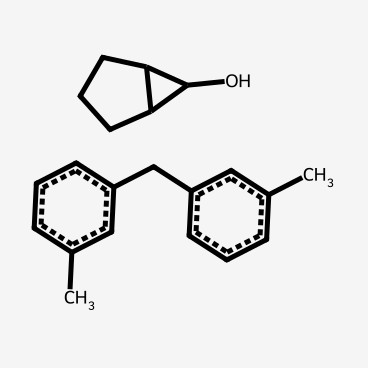 Cc1cccc(Cc2cccc(C)c2)c1.OC1C2CCCC12